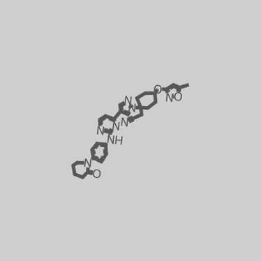 Cc1cc(OC2CCC(CC#N)(n3cc(-c4ccnc(Nc5ccc(N6CCCCC6=O)cc5)n4)cn3)CC2)no1